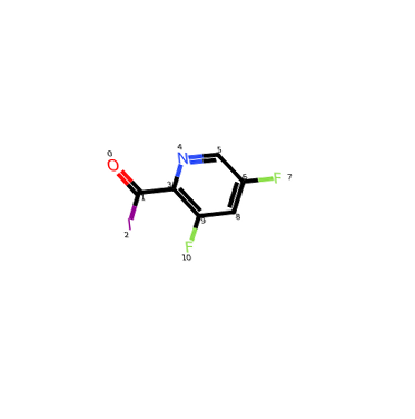 O=C(I)c1ncc(F)cc1F